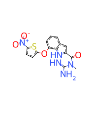 CN(C(=N)N)C(=O)c1cc2cccc(Oc3ccc([N+](=O)[O-])s3)c2[nH]1